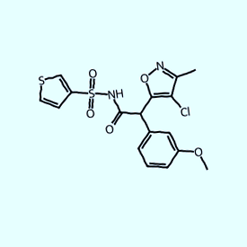 COc1cccc(C(C(=O)NS(=O)(=O)c2ccsc2)c2onc(C)c2Cl)c1